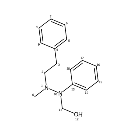 CN(CCc1ccccc1)N(CO)c1ccccc1